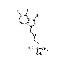 C[Si](C)(C)CCOCn1cc(Br)c2c(F)c(F)ccc21